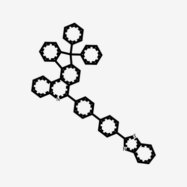 c1ccc(C2(c3ccccc3)c3ccccc3-c3c2ccc2c(-c4ccc(-c5ccc(-c6nc7ccccc7s6)cc5)cc4)nc4ccccc4c32)cc1